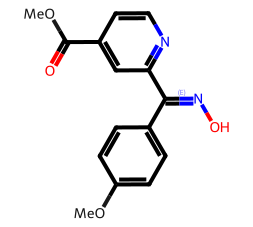 COC(=O)c1ccnc(/C(=N/O)c2ccc(OC)cc2)c1